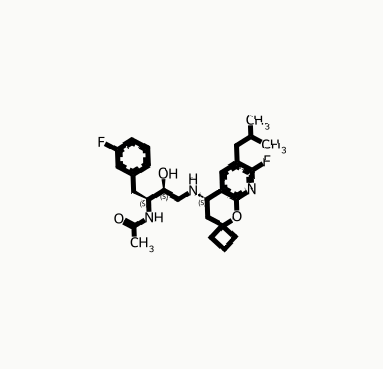 CC(=O)N[C@@H](Cc1cccc(F)c1)[C@@H](O)CN[C@H]1CC2(CCC2)Oc2nc(F)c(CC(C)C)cc21